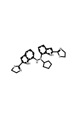 c1cc(NN(c2cccc3cc(C4=NCCS4)[nH]c23)C2CCCC2)c2[nH]c(C3=NCCS3)cc2c1